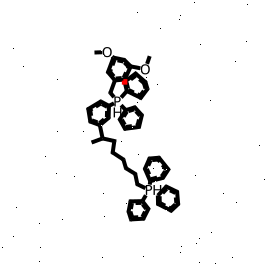 COc1cc(C[PH](c2ccccc2)(c2ccccc2)c2cccc(C(C)CCCCCC[PH](c3ccccc3)(c3ccccc3)c3ccccc3)c2)cc(OC)c1